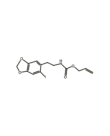 C=CCOC(=O)NCCc1cc2c(cc1I)OCO2